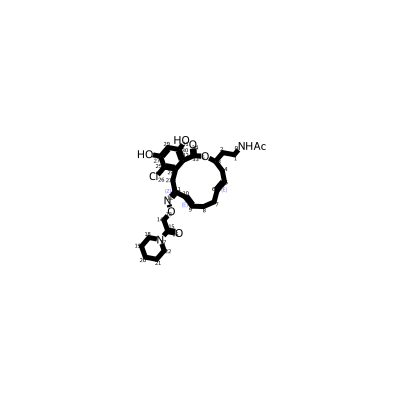 CC(=O)NCCC1C/C=C/CC/C=C/C(=N\OCC(=O)N2CCCCC2)Cc2c(Cl)c(O)cc(O)c2C(=O)O1